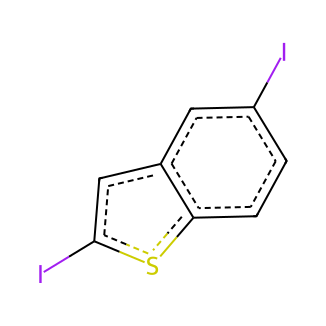 Ic1ccc2sc(I)cc2c1